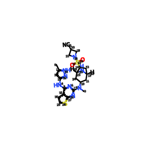 Cc1cc(Nc2nc(N(C)[C@@H]3C[C@H]4CC(S(=O)(=O)N5CC(C#N)C5)[C@@H](C3)N4)nc3sccc23)n[nH]1